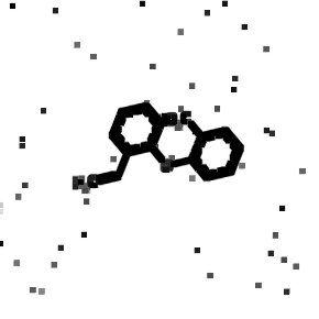 C=Cc1ccccc1Oc1ccccc1C(=O)O